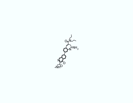 CCCN(CCC)C(=O)C1=Cc2ccc(-c3ccc4c(=O)n(C(=O)CNC)ncc4c3)cc2N=C(N)C1